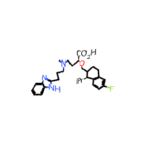 CC(C)[C@@H]1c2ccc(F)cc2CCC1CO[C@@H](CCN(C)CCCc1nc2ccccc2[nH]1)C(=O)O